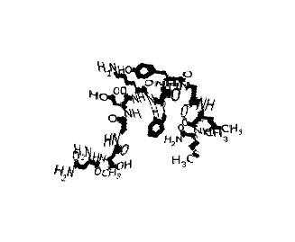 CSCC[C@H](NC(=O)[C@H](CC(C)C)NC(=O)CNC(=O)[C@H](Cc1ccc(O)cc1)NC(=O)[C@H](Cc1ccccc1)NC(=O)[C@H](CCCCN)NC(=O)[C@H](CC(=O)O)NC(=O)CNC(=O)[C@@H](NC(=O)[C@@H](N)CC(N)=O)[C@@H](C)O)C(N)=O